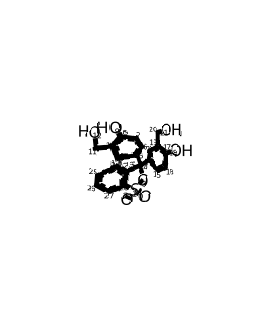 O=S1(=O)OC(c2ccc(O)c(CO)c2)(c2ccc(O)c(CO)c2)c2ccccc21